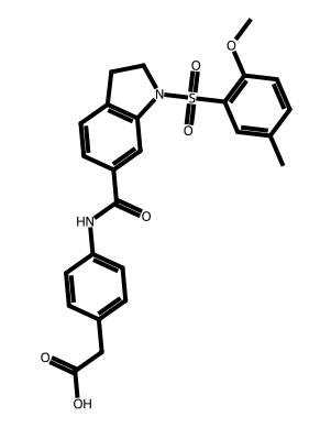 COc1ccc(C)cc1S(=O)(=O)N1CCc2ccc(C(=O)Nc3ccc(CC(=O)O)cc3)cc21